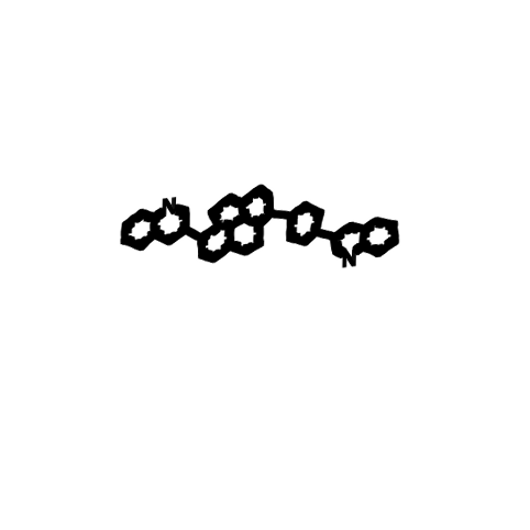 c1ccc2ncc(-c3ccc(-c4ccc5ccc6c(-c7cnc8ccccc8c7)ccc7ccc4c5c76)cc3)cc2c1